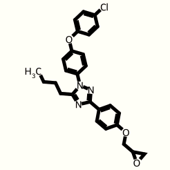 CCCCc1nc(-c2ccc(OCC3CO3)cc2)nn1-c1ccc(Oc2ccc(Cl)cc2)cc1